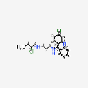 CCC(Cl)CNCCCNc1c2ccccc2nc2cc(Cl)ccc12